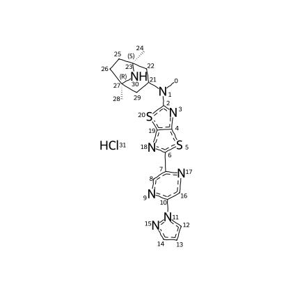 CN(c1nc2sc(-c3cnc(-n4cccn4)cn3)nc2s1)C1C[C@]2(C)CC[C@](C)(C1)N2.Cl